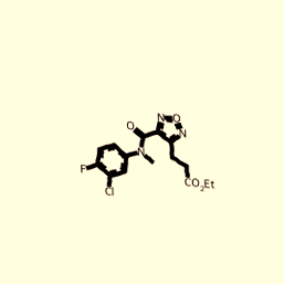 CCOC(=O)CCc1nonc1C(=O)N(C)c1ccc(F)c(Cl)c1